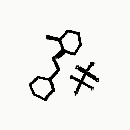 O=C1CCCCC1=[S+]CC1CCCCC1.O=S(=O)([O-])C(F)(F)F